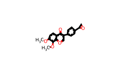 COc1ccc2c(=O)c(-c3ccc(C4CO4)cc3)coc2c1OC